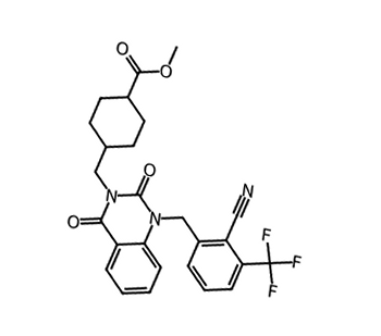 COC(=O)C1CCC(Cn2c(=O)c3ccccc3n(Cc3cccc(C(F)(F)F)c3C#N)c2=O)CC1